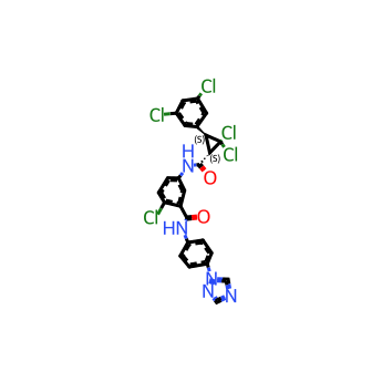 O=C(Nc1ccc(-n2cncn2)cc1)c1cc(NC(=O)[C@@H]2[C@@H](c3cc(Cl)cc(Cl)c3)C2(Cl)Cl)ccc1Cl